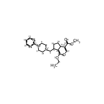 CCOC1=C2C(CN3CCN(c4ncccn4)CC3)CCC2C(C(=O)OC)=CO1